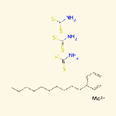 CCCCCCCCCCc1cccc[c]1[Mo+3].NC(=S)[S-].NC(=S)[S-].NC(=S)[S-]